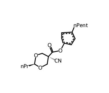 CCCCCc1ccc(OC(=O)[C@]2(C#N)CO[C@H](CCC)OC2)cc1